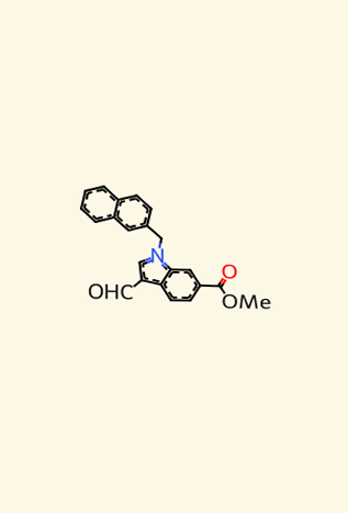 COC(=O)c1ccc2c(C=O)cn(Cc3ccc4ccccc4c3)c2c1